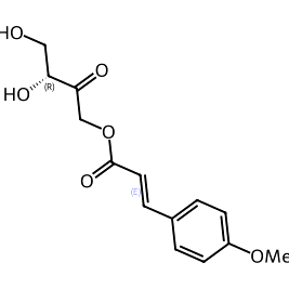 COc1ccc(/C=C/C(=O)OCC(=O)[C@H](O)CO)cc1